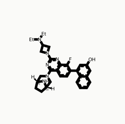 CCN(CC)C1CN(c2nc(N3C[C@H]4CC[C@@H](C3)N4)c3ccc(-c4cc(O)cc5ccccc45)c(F)c3n2)C1